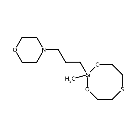 C[Si]1(CCCN2CCOCC2)OCCSCCO1